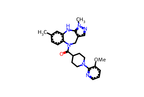 COc1cccnc1N1CCC(C(=O)N2Cc3cnn(C)c3Nc3cc(C)ccc32)CC1